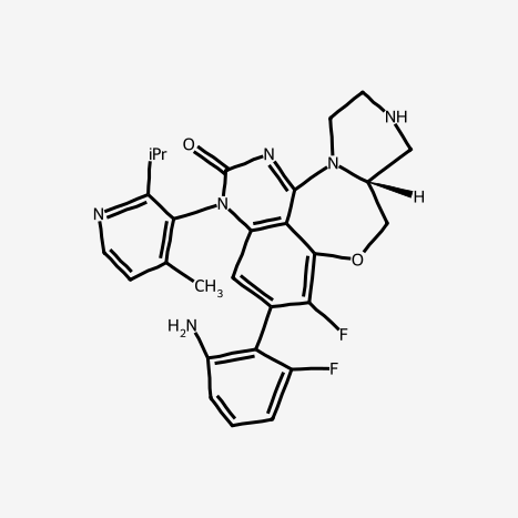 Cc1ccnc(C(C)C)c1-n1c(=O)nc2c3c(c(F)c(-c4c(N)cccc4F)cc31)OC[C@H]1CNCCN21